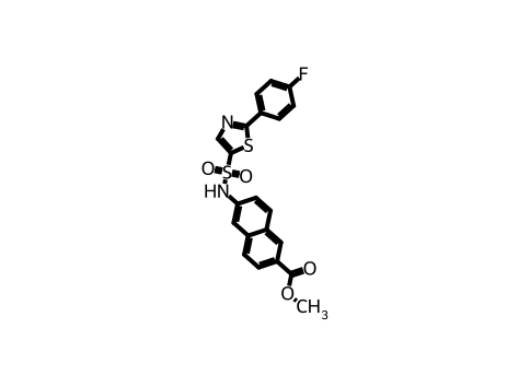 COC(=O)c1ccc2cc(NS(=O)(=O)c3cnc(-c4ccc(F)cc4)s3)ccc2c1